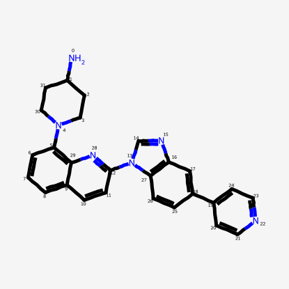 NC1CCN(c2cccc3ccc(-n4cnc5cc(-c6ccncc6)ccc54)nc23)CC1